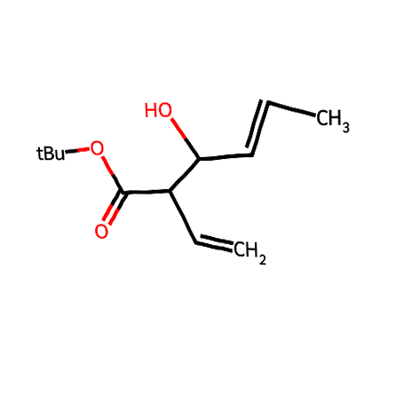 C=CC(C(=O)OC(C)(C)C)C(O)C=CC